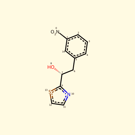 O=[N+]([O-])c1cccc(C[C@@H](O)c2nccs2)c1